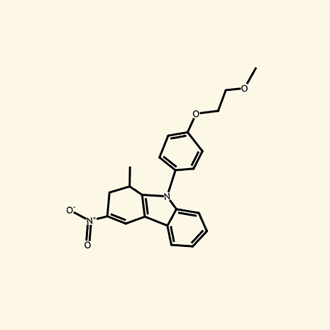 COCCOc1ccc(-n2c3c(c4ccccc42)C=C([N+](=O)[O-])CC3C)cc1